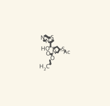 C=CCOC(=O)N1C[C@H](SC(C)=O)C[C@H]1C(O)c1csc2cncn12